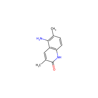 Cc1ccc2[nH]c(=O)c(C)cc2c1N